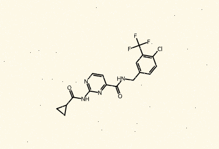 O=C(NCc1ccc(Cl)c(C(F)(F)F)c1)c1ccnc(NC(=O)C2CC2)n1